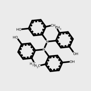 Cc1ccc(O)cc1N(c1cc(O)ccc1C)N(c1cc(O)ccc1C)c1cc(O)ccc1C